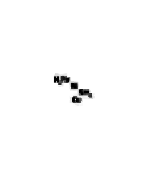 [Cu].[Ni].[PbH2].[SiH4]